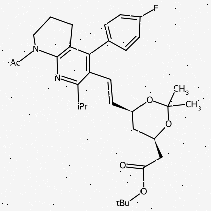 CC(=O)N1CCCc2c1nc(C(C)C)c(/C=C/[C@@H]1C[C@H](CC(=O)OC(C)(C)C)OC(C)(C)O1)c2-c1ccc(F)cc1